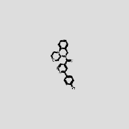 O=C(NCc1ccccc1N1CCOCC1)c1cnnc(-c2ccc(Cl)cc2)c1